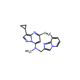 Cc1cccn2cc(CN(C(=O)O)c3cc(Cl)nc4c(C5CC5)cnn34)nc12